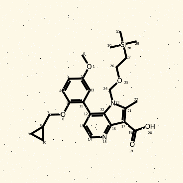 COc1ccc(OCC2CC2)c(-c2ccnc3c(C(=O)O)c(C)n(COCC[Si](C)(C)C)c23)c1